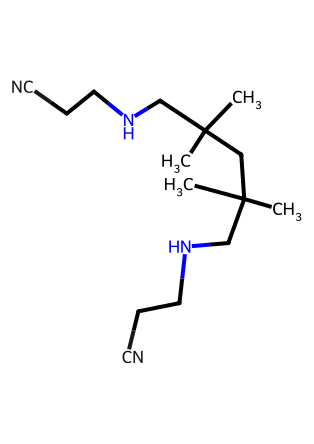 CC(C)(CNCCC#N)CC(C)(C)CNCCC#N